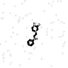 O=C1CN(CCNc2ccccc2)CCN1